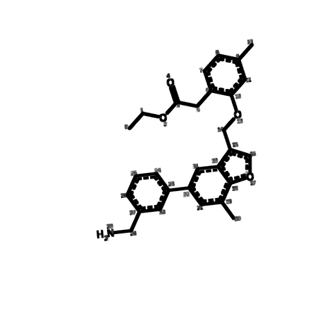 CCOC(=O)Cc1ccc(C)cc1OCc1coc2c(C)cc(-c3cccc(CN)c3)cc12